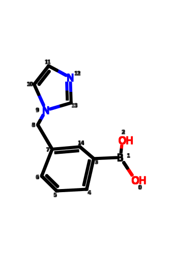 OB(O)c1cccc(Cn2ccnc2)c1